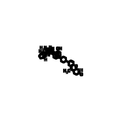 CN(c1cccc(C2CCC(N3CCC(c4ccnc(N5[C@@H]6CC[C@H]5CN(c5cc(-c7ccccc7O)nnc5N)C6)n4)CC3)CC2)c1)[C@@H]1CCC(=O)NC1=O